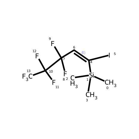 C[Si](C)(C)/C(I)=C\C(F)(F)C(F)(F)C(F)(F)F